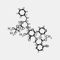 COC(=O)c1c(Br)cccc1/C=N/c1c(-c2ccncc2)nc(NCC(Cc2ccccc2)NC(=O)OC(C)(C)C)n(C)c1=O